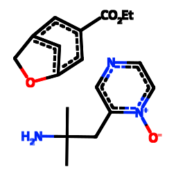 CC(C)(N)Cc1cncc[n+]1[O-].CCOC(=O)c1cc2cc(c1)OC2